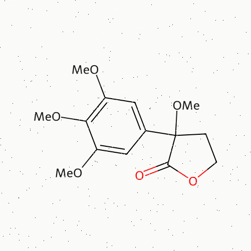 COc1cc(C2(OC)CCOC2=O)cc(OC)c1OC